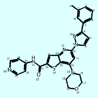 Cc1cccc(-c2ccn(-c3cc(N4CCOCC4)c4sc(C(=O)Nc5ccncc5)cc4n3)n2)c1